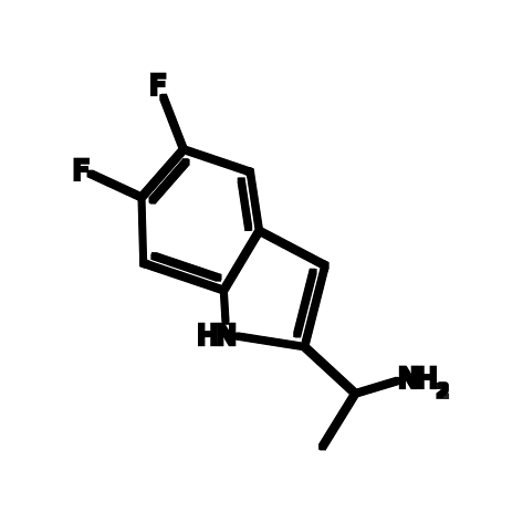 CC(N)c1cc2cc(F)c(F)cc2[nH]1